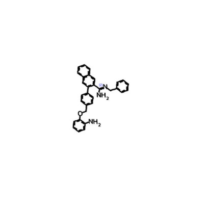 N/C(=N\Cc1ccccc1)c1cc2ccccc2cc1-c1ccc(COc2ccccc2N)cc1